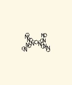 c1ccc(-c2ccc3c(n2)c2nc(-c4ccccn4)cc4c5cc6c7cc(-c8ccccn8)nc8c9nc(-c%10ccccn%10)ccc9n(c6cc5n3c42)c78)nc1